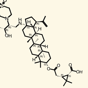 C=C(C)[C@@H]1CC[C@]2(NC[C@H]([C@@H](C)O)N3CCS(=O)(=O)CC3)CC[C@]3(C)[C@H](CC[C@@H]4[C@@]5(C)CC[C@H](OC(=O)C[C@@H]6[C@H](C(=O)O)C6(C)C)C(C)(C)[C@@H]5CC[C@]43C)[C@@H]12